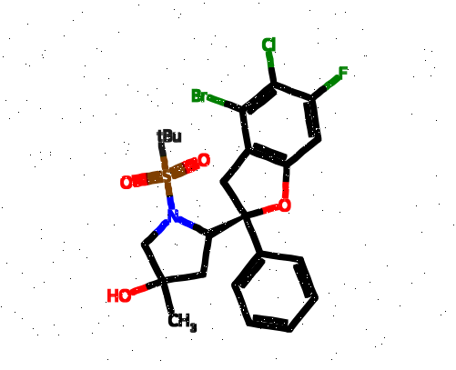 CC1(O)CC([C@@]2(c3ccccc3)Cc3c(cc(F)c(Cl)c3Br)O2)N(S(=O)(=O)C(C)(C)C)C1